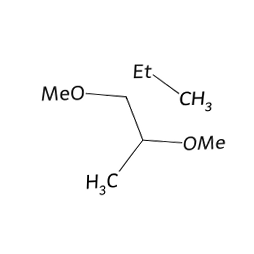 CCC.COCC(C)OC